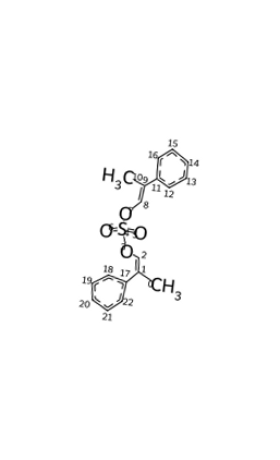 CC(=COS(=O)(=O)OC=C(C)c1ccccc1)c1ccccc1